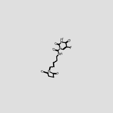 O=C1CCC(=O)N1CCCCCNC(=O)n1cc(F)c(=O)[nH]c1=O